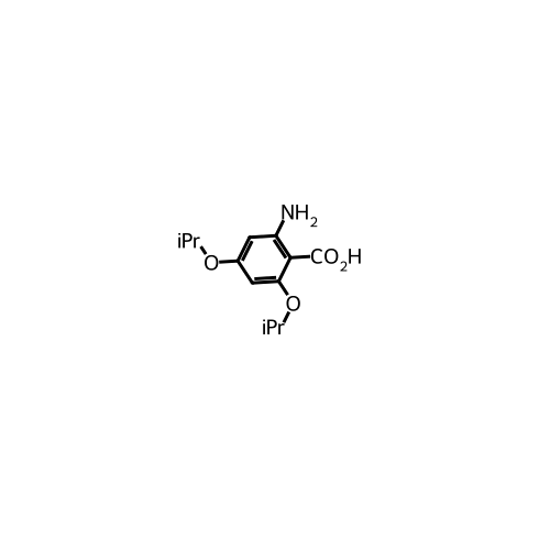 CC(C)Oc1cc(N)c(C(=O)O)c(OC(C)C)c1